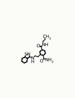 CCCNC(=O)c1ccc(C(N)=O)c(CCNc2nsc3ccccc23)c1